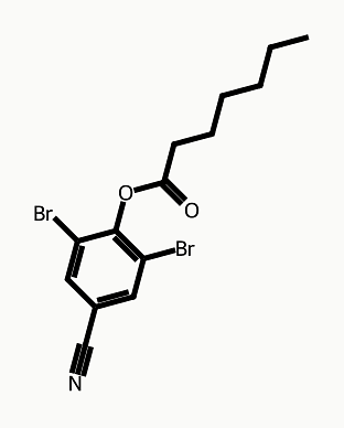 CCCCCCC(=O)Oc1c(Br)cc(C#N)cc1Br